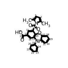 Cc1ccc(C)n1S(=O)(=O)c1cc(C(=O)O)cc(Nc2ccccc2)c1Oc1ccccc1